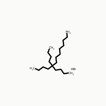 Br.CCCCC(CCCC)(CCCC)CCCCCCCP